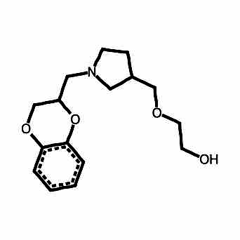 OCCOCC1CCN(CC2COc3ccccc3O2)C1